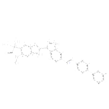 CCN1C(=O)C(C)(C)c2cc3nc(-c4n[nH]c5cc(/C=C/c6ccc(-c7ccccc7)cc6)ccc45)[nH]c3cc21